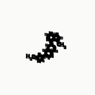 Cc1ncc(-c2cnc3c(c2)CN(c2ncnc4scc(C)c24)CC3)s1